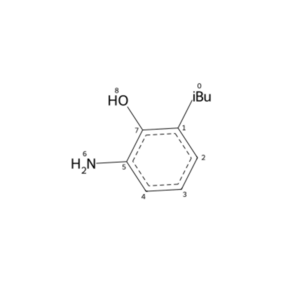 CCC(C)c1cccc(N)c1O